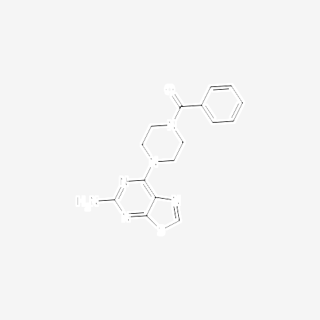 Nc1nc(N2CCN(C(=O)c3ccccc3)CC2)c2ncsc2n1